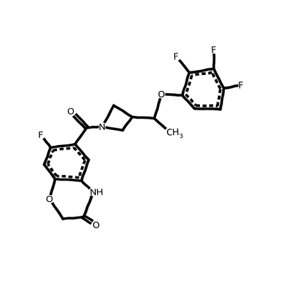 CC(Oc1ccc(F)c(F)c1F)C1CN(C(=O)c2cc3c(cc2F)OCC(=O)N3)C1